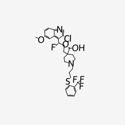 COc1ccc2ncc(Cl)c([C@H](F)CCC3(C(=O)O)CCN(CCCSc4ccccc4C(F)(F)F)CC3)c2c1